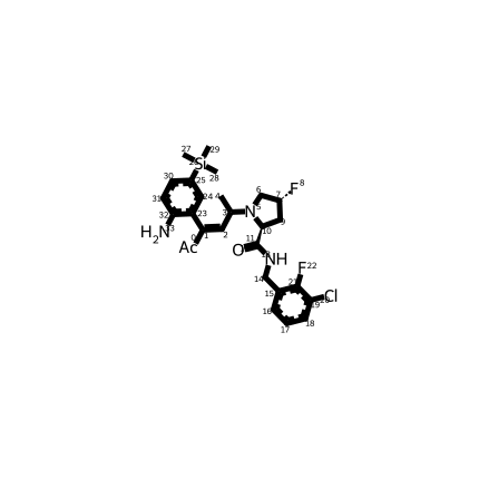 CC(=O)C(=CC(C)N1C[C@H](F)C[C@H]1C(=O)NCc1cccc(Cl)c1F)c1cc([Si](C)(C)C)ccc1N